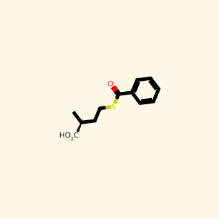 C[C@@H](CCSC(=O)c1ccccc1)C(=O)O